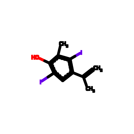 C=C(C)c1cc(I)c(O)c(C)c1I